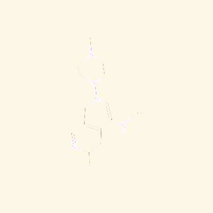 CCCCNC1=CN(N2CCN(C)CC2)Cc2cnc(Cl)cc21